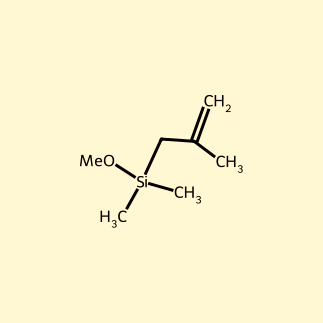 C=C(C)C[Si](C)(C)OC